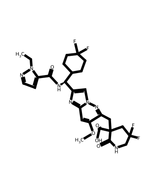 CCn1nccc1C(=O)N[C@H](c1cn2nc(CC3(C(=O)O)CC(F)(F)CNC3=O)c(OC)cc2n1)C1CCC(F)(F)CC1